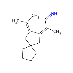 CC(C)=C1CC2(CCCC2)C/C1=C(\C)C=N